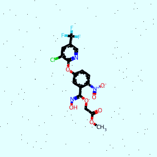 COC(=O)COC(=NO)c1cc(Oc2ncc(C(F)(F)F)cc2Cl)ccc1[N+](=O)[O-]